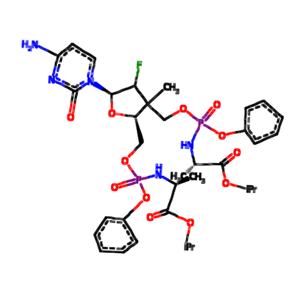 CC(C)OC(=O)[C@H](C)NP(=O)(OC[C@H]1O[C@@H](n2ccc(N)nc2=O)C(F)C1(C)COP(=O)(N[C@@H](C)C(=O)OC(C)C)Oc1ccccc1)Oc1ccccc1